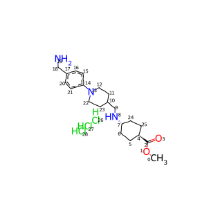 COC(=O)[C@H]1CC[C@H](NCC2CCN(c3ccc(CN)cc3)CC2)CC1.Cl.Cl.Cl